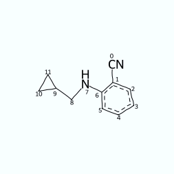 N#Cc1ccccc1NCC1CC1